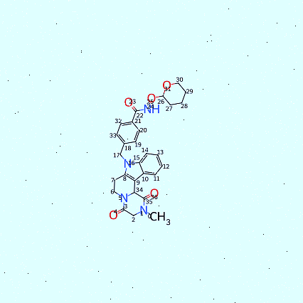 CN1CC(=O)N2CCc3c(c4ccccc4n3Cc3ccc(C(=O)NOC4CCCCO4)cc3)C2C1=O